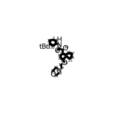 CC(C)(C)c1cccc(NC(=O)C(=O)c2ccc(OCCN3CCOCC3)c3ccccc23)c1